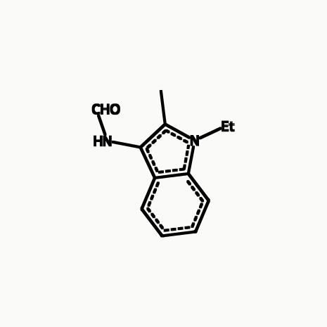 CCn1c(C)c(NC=O)c2ccccc21